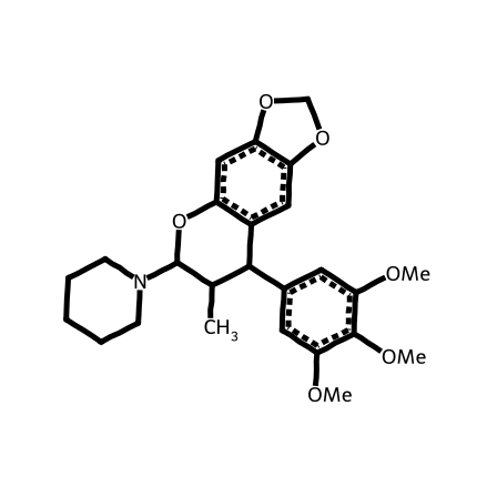 COc1cc(C2c3cc4c(cc3OC(N3CCCCC3)C2C)OCO4)cc(OC)c1OC